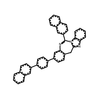 c1ccc2cc(C3=Nc4cc(-c5ccc(-c6ccc7ccccc7c6)cc5)ccc4Cc4nc5ccccc5n43)ccc2c1